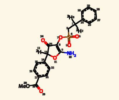 [2H]C([2H])(CS(=O)(=O)OC1=C(N)OC([2H])(c2ccc(C(=O)OC)cc2)C1=O)c1ccccc1